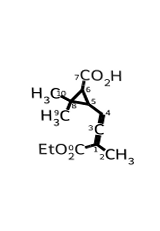 CCOC(=O)C(C)=C=CC1C(C(=O)O)C1(C)C